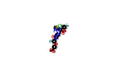 COC(=O)C1=C(CN2CCN3C(=O)N(c4cc(F)cc(OC5CCC(C(=O)OC)CC5)c4)CC3C2)NC(c2nccs2)=NC1c1ccc(F)cc1Cl